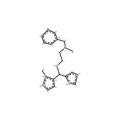 CN(CCOC(c1cncs1)c1ccnn1C)Cc1ccccc1